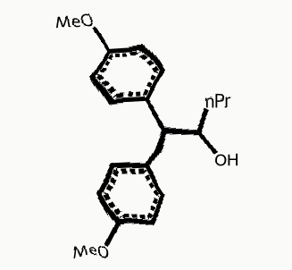 CCCC(O)C(c1ccc(OC)cc1)c1ccc(OC)cc1